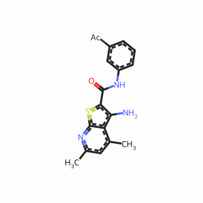 CC(=O)c1cccc(NC(=O)c2sc3nc(C)cc(C)c3c2N)c1